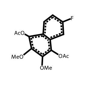 COc1c(OC)c(OC(C)=O)c2cc(F)ccc2c1OC(C)=O